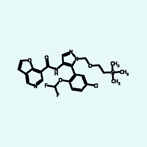 C[Si](C)(C)CCOCn1ncc(NC(=O)c2cncc3ccoc23)c1-c1cc(Cl)ccc1OC(F)F